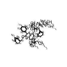 CCC(=O)N(c1cccc(N(C(=O)OC(C)(C)C)C(N)=NC(=O)OC(C)(C)C)c1)C1(C(=O)OC)CCN(CC(C(=O)OCc2ccccc2)c2ccccc2)CC1